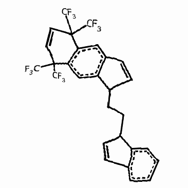 FC(F)(F)C1(C(F)(F)F)C=CC(C(F)(F)F)(C(F)(F)F)c2cc3c(cc21)C=CC3CCC1C=Cc2ccccc21